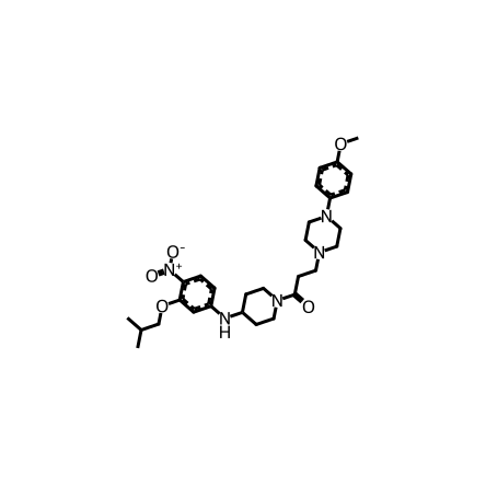 COc1ccc(N2CCN(CCC(=O)N3CCC(Nc4ccc([N+](=O)[O-])c(OCC(C)C)c4)CC3)CC2)cc1